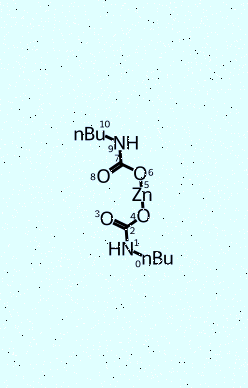 CCCCNC(=O)[O][Zn][O]C(=O)NCCCC